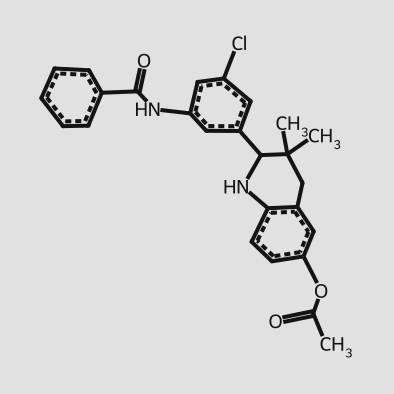 CC(=O)Oc1ccc2c(c1)CC(C)(C)C(c1cc(Cl)cc(NC(=O)c3ccccc3)c1)N2